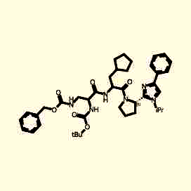 CC(C)n1cc(-c2ccccc2)nc1[C@@H]1CCCN1C(=O)C(CC1CCCC1)NC(=O)C(CNC(=O)OCc1ccccc1)NC(=O)OC(C)(C)C